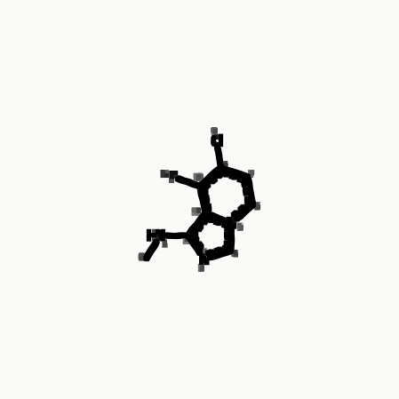 CNc1ncn2ccc(Cl)c(F)c12